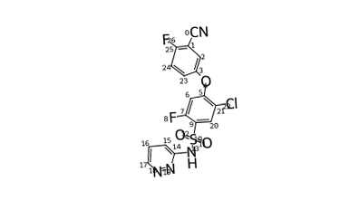 N#Cc1cc(Oc2cc(F)c(S(=O)(=O)Nc3cccnn3)cc2Cl)ccc1F